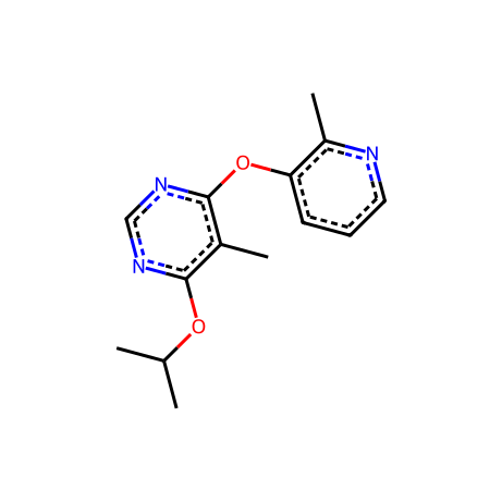 Cc1ncccc1Oc1ncnc(OC(C)C)c1C